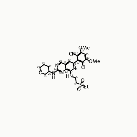 CCS(=O)(=O)CCNc1nc(-c2c(Cl)c(OC)cc(OC)c2Cl)cc2cnc(NC3CCCOC3)nc12